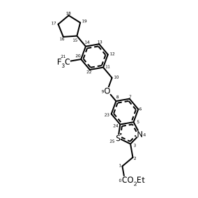 CCOC(=O)CCc1nc2ccc(OCc3ccc(C4CCCC4)c(C(F)(F)F)c3)cc2s1